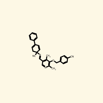 Cc1ncc(C=NC2(C#N)C=CC(c3ccccc3)=CC2)c(C)c1OCc1ccc(C#N)cc1